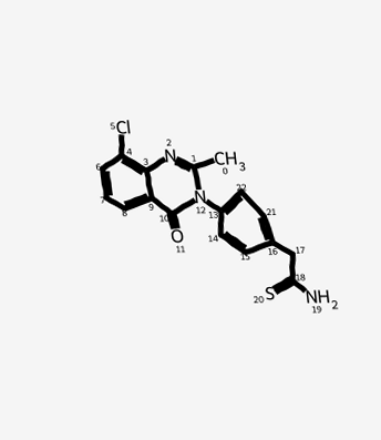 Cc1nc2c(Cl)cccc2c(=O)n1-c1ccc(CC(N)=S)cc1